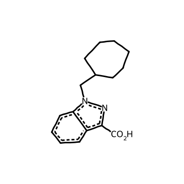 O=C(O)c1nn(CC2CCCCCC2)c2ccccc12